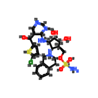 NS(=O)(=O)OC[C@H]1C[C@@H](Nc2ncncc2C(=O)c2cc([C@@H]3NCCc4ccccc43)c(Cl)s2)[C@H](O)[C@@H]1O